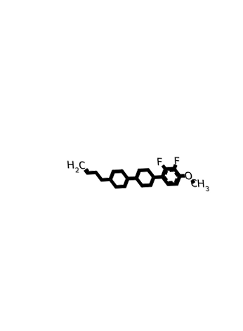 C=CCCC1CCC(C2CCC(c3ccc(OC)c(F)c3F)CC2)CC1